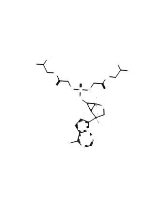 CCC(CC)COC(=O)CNP(=O)(NCC(=O)OCC(CC)CC)OC1[C@]2(O)[C@@](O)(c3ccc4c(N)ncnn34)CO[C@]12C#N